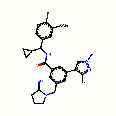 COc1cc(C(NC(=O)c2cc(CN3CCCC3=N)cc(-c3cn(C)nc3C(F)(F)F)c2)C2CC2)ccc1F